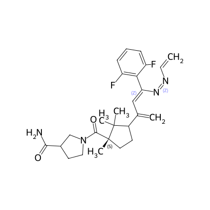 C=C/N=N\C(=C/C(=C)C1CC[C@](C)(C(=O)N2CCC(C(N)=O)C2)C1(C)C)c1c(F)cccc1F